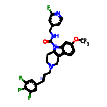 O=C(NCc1ccnc(F)c1)n1c2c(c3ccc(OC(F)(F)F)cc31)CN(C/C=C/c1cc(F)c(F)c(F)c1)CC2